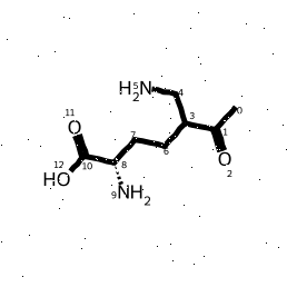 CC(=O)C(CN)CC[C@H](N)C(=O)O